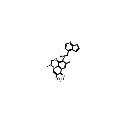 C[C@H]1COc2c(NCc3ccnc4c3C=CC4)c(F)cc3c(=O)c(C(=O)O)cn1c23